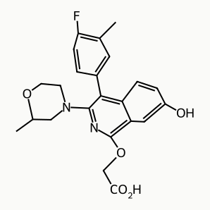 Cc1cc(-c2c(N3CCOC(C)C3)nc(OCC(=O)O)c3cc(O)ccc23)ccc1F